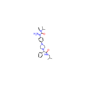 C=CN(C(=O)N(N)c1ccc(N2CCN(C(C(=O)NCC(C)C)c3ccccc3)CC2)cc1)C(C)C